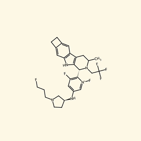 CC1Cc2c([nH]c3cc4c(cc23)CC4)[C@@H](c2c(F)cc(N[C@H]3CCN(CCCF)C3)c[n+]2F)N1CC(F)(F)F